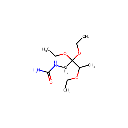 CCOC(C)C(OCC)(OCC)[SiH2]NC(N)=O